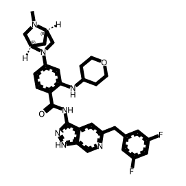 CN1C[C@H]2C[C@@H]1CN2c1ccc(C(=O)Nc2n[nH]c3cnc(Cc4cc(F)cc(F)c4)cc23)c(NC2CCOCC2)c1